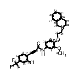 COc1cc(NC(=O)C#Cc2ccc(C(F)(F)F)cc2Cl)ccc1OCCN1CCc2ccccc2C1